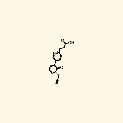 C#CCn1cccc(-c2cc[n+](CCC(=O)O)nc2)c1=O